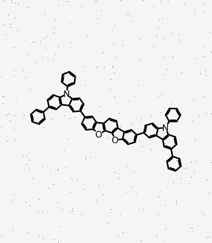 c1ccc(-c2ccc3c(c2)c2cc(-c4ccc5oc6c(ccc7c8cc(-c9ccc%10c(c9)c9cc(-c%11ccccc%11)ccc9n%10-c9ccccc9)ccc8oc76)c5c4)ccc2n3-c2ccccc2)cc1